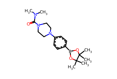 CN(C)C(=O)N1CCN(c2ccc(B3OC(C)(C)C(C)(C)O3)cc2)CC1